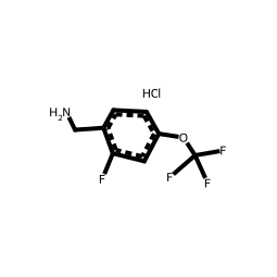 Cl.NCc1ccc(OC(F)(F)F)cc1F